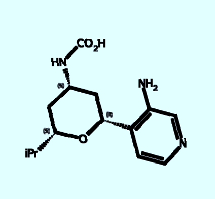 CC(C)[C@@H]1C[C@H](NC(=O)O)C[C@H](c2ccncc2N)O1